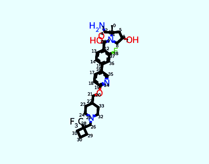 C[C@@]1(C(N)=O)C[C@@H](O)CN1C(O)c1ccc(-c2ccc(OCC3CCN(CC4(C(F)(F)F)CCC4)CC3)nc2)cc1F